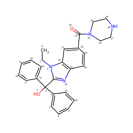 CCn1c(C(O)(c2ccccc2)c2ccccc2)nc2ccc(C(=O)N3CCNCC3)cc21